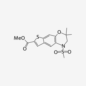 COC(=O)c1cc2cc3c(cc2s1)OC(C)(C)CN3S(C)(=O)=O